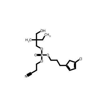 CCC(C)(CO)COP(=O)(OCCC#N)OCCCC1=CC=C(Cl)C1